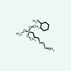 CO[Si](CCCSSSN)(OC)OC.NC1CCCCC1